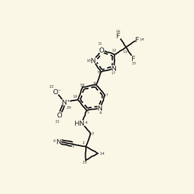 N#CC1(CNc2ncc(-c3noc(C(F)(F)F)n3)cc2[N+](=O)[O-])CC1